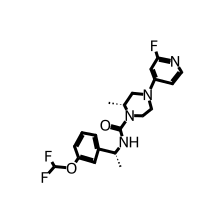 C[C@@H]1CN(c2ccnc(F)c2)CCN1C(=O)N[C@H](C)c1cccc(OC(F)F)c1